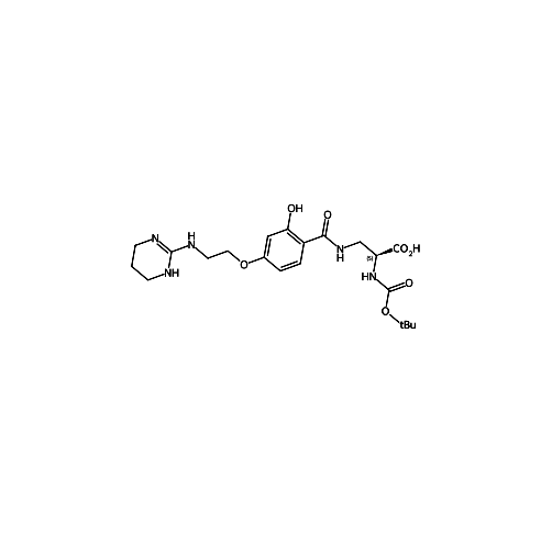 CC(C)(C)OC(=O)N[C@@H](CNC(=O)c1ccc(OCCNC2=NCCCN2)cc1O)C(=O)O